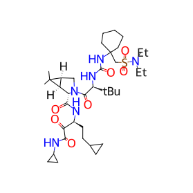 CCN(CC)S(=O)(=O)CC1(NC(=O)N[C@H](C(=O)N2C[C@H]3[C@@H]([C@H]2C(=O)N[C@@H](CCC2CC2)C(=O)C(=O)NC2CC2)C3(C)C)C(C)(C)C)CCCCC1